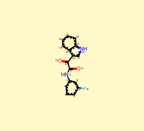 O=C(Nc1cccc(F)c1)C(=O)c1c[nH]c2ccccc12